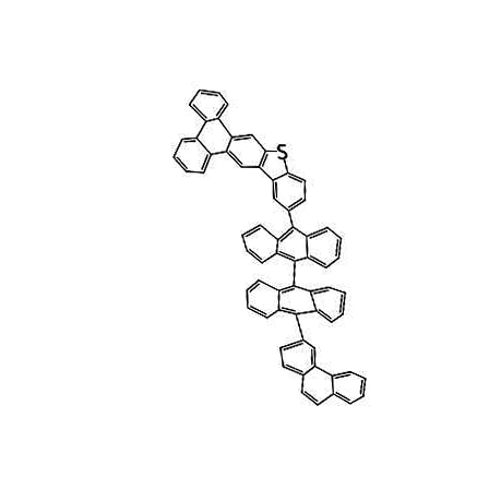 c1ccc2c(c1)ccc1ccc(-c3c4ccccc4c(-c4c5ccccc5c(-c5ccc6sc7cc8c9ccccc9c9ccccc9c8cc7c6c5)c5ccccc45)c4ccccc34)cc12